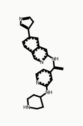 C=C(Nc1cc2cc(C3=CN=CC3)ccc2cn1)c1ccnc(NC2CCNCC2)c1